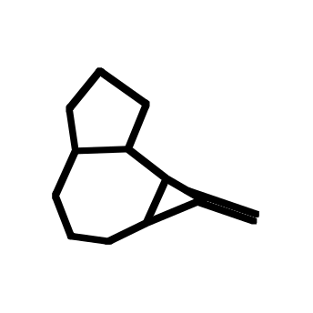 C=C1C2CCCC3CCCC3C12